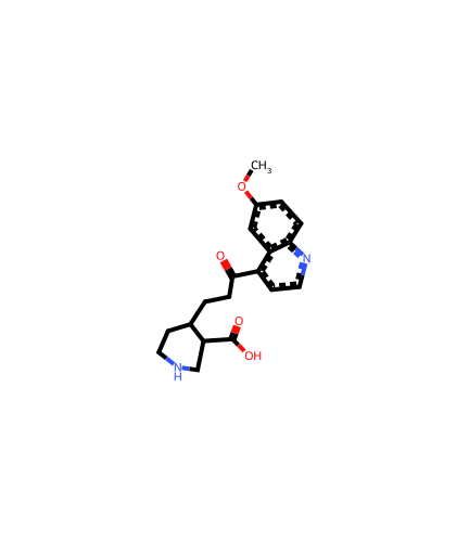 COc1ccc2nccc(C(=O)CCC3CCNCC3C(=O)O)c2c1